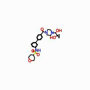 O=C(c1ccc(-c2cccc(NS(=O)(=O)C3CCOCC3)c2)cc1)N1CCN(C(O)C2(O)CC2)CC1